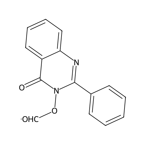 O=[C]On1c(-c2ccccc2)nc2ccccc2c1=O